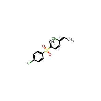 C=C(/C=C\C(Cl)=C/C)S(=O)(=O)c1ccc(Cl)cc1